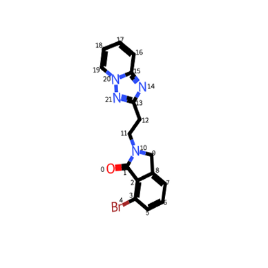 O=C1c2c(Br)cccc2CN1CCc1nc2ccccn2n1